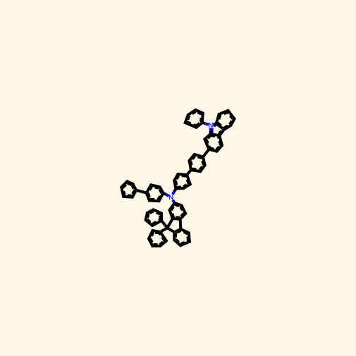 c1ccc(-c2ccc(N(c3ccc(-c4ccc(-c5ccc6c7ccccc7n(-c7ccccc7)c6c5)cc4)cc3)c3ccc4c(c3)C(c3ccccc3)(c3ccccc3)c3ccccc3-4)cc2)cc1